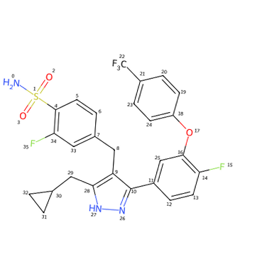 NS(=O)(=O)c1ccc(Cc2c(-c3ccc(F)c(Oc4ccc(C(F)(F)F)cc4)c3)n[nH]c2CC2CC2)cc1F